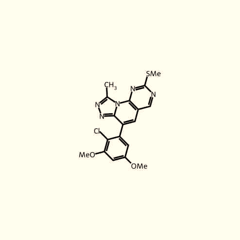 COc1cc(OC)c(Cl)c(-c2cc3cnc(SC)nc3n3c(C)nnc23)c1